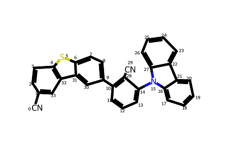 N#Cc1ccc2sc3ccc(-c4cccc(-n5c6ccccc6c6ccccc65)c4C#N)cc3c2c1